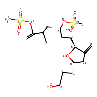 C=C(OS(=O)(=O)C(F)(F)F)C(C)C[C@@H](CC[C@@H]1O[C@@H](CCCO)CC1=C)OS(C)(=O)=O